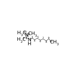 C=C(NCCCCCCCC)N(C)C